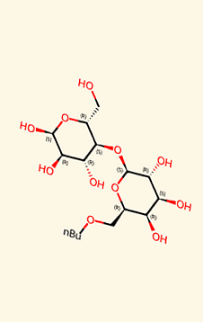 CCCCOC[C@H]1O[C@@H](O[C@H]2[C@H](O)[C@@H](O)[C@@H](O)O[C@@H]2CO)[C@H](O)[C@@H](O)[C@H]1O